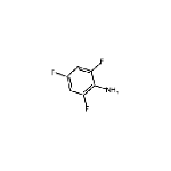 Nc1c(F)cc(F)cc1F